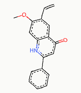 C=Cc1cc2c(=O)cc(-c3ccccc3)[nH]c2cc1OC